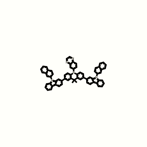 CC1(C)c2cc(-c3ccc4c5ccccc5n(-c5ccc6ccccc6c5)c4c3)ccc2N(c2ccc3nccnc3c2)c2ccc(-c3ccc4c5ccccc5n(-c5ccc6ccccc6c5)c4c3)cc21